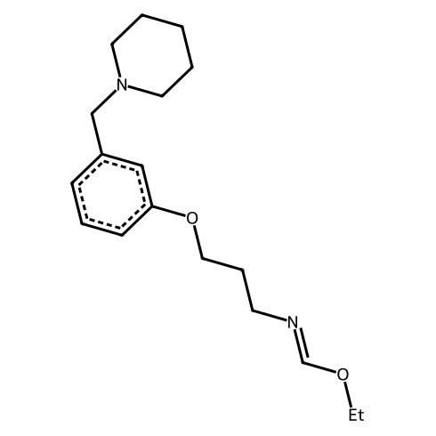 CCOC=NCCCOc1cccc(CN2CCCCC2)c1